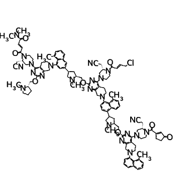 Cc1cccc2cc(C3C[C@@H](COc4nc5c(c(N6CCN(C(=O)/C=C/CCl)[C@@H](CC#N)C6)n4)CCN(c4ccc(C6C[C@@H](COc7nc8c(c(N9CCN(C(=O)C%10=CC(=O)CC%10)[C@@H](CC#N)C9)n7)CCN(c7cccc9cccc(C)c79)C8)N(C)C6)c6cccc(C)c46)C5)N(C)C3)cc(N3CCc4c(nc(OC[C@@H]5CCCN5C)nc4N4CCN(C(=O)/C=C/C(=O)N(C)C)[C@@H](CC#N)C4)C3)c12